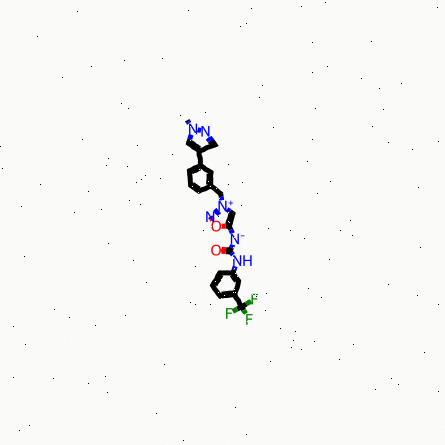 Cn1cc(-c2cccc(C[n+]3cc([N-]C(=O)Nc4cccc(C(F)(F)F)c4)on3)c2)cn1